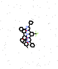 Cc1ccc(-c2ccc3c4ccccc4n(-c4c(-c5cc(-c6ccccc6)nc(-c6ccccc6)n5)cc(C(F)(F)F)cc4-c4cc(-c5ccccc5)nc(-c5ccccc5)n4)c3c2)c(C)c1